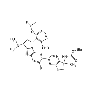 CN(C)C1C[C@H](c2c(C=O)cccc2OC(F)F)n2c1nc1cc(F)c(-c3cnc4c(c3)OCC4(C)NC(=O)OC(C)(C)C)cc12